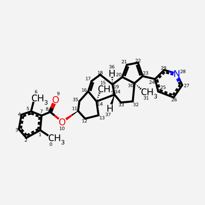 Cc1cccc(C)c1C(=O)O[C@@H]1CC[C@@]2(C)C(=CC[C@H]3C4=CC=C(c5cccnc5)[C@@]4(C)CC[C@@H]32)C1